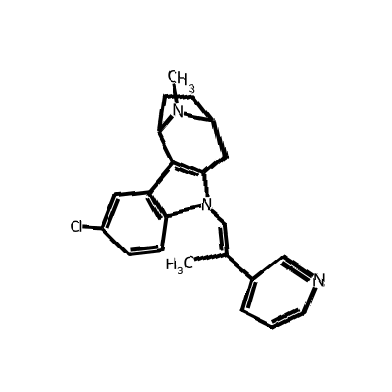 C/C(=C\n1c2c(c3cc(Cl)ccc31)C1CCC(C2)N1C)c1cccnc1